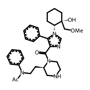 COC[C@]1(O)CCCC[C@H]1n1cnc(C(=O)N2CCNC[C@H]2CCN(C(C)=O)c2ccccc2)c1-c1ccccc1